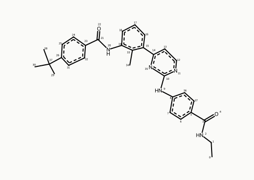 CCNC(=O)c1ccc(Nc2nccc(-c3cccc(NC(=O)c4ccc(C(C)(C)C)cc4)c3C)n2)cc1